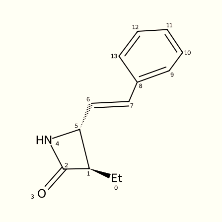 CC[C@H]1C(=O)N[C@@H]1C=Cc1ccccc1